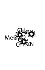 COc1nc(C)c(CCOc2ccccc2)c(Oc2cc(Cl)cc(C#N)c2)c1Cl